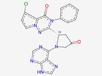 O=C1C[C@@H](c2nn3ccc(Cl)c3c(=O)n2-c2ccccc2)N(c2ncnc3[nH]cnc23)C1